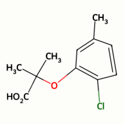 Cc1ccc(Cl)c(OC(C)(C)C(=O)O)c1